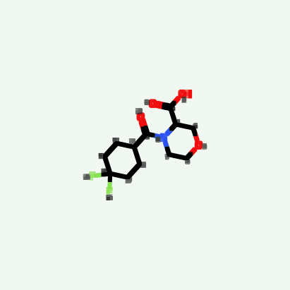 O=C(O)C1COCCN1C(=O)C1CCC(F)(F)CC1